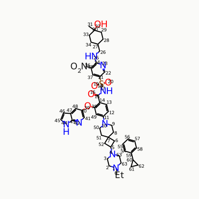 CCN1CCN(C2CC3(CCN(c4ccc(C(=O)NS(=O)(=O)c5cnc(NCC6CCC(C)(O)CC6)c([N+](=O)[O-])c5)c(Oc5cnc6[nH]ccc6c5)c4)CC3)C2)[C@H](c2ccccc2C2CC2)C1